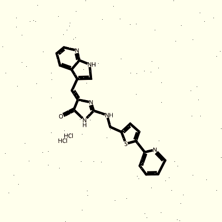 Cl.Cl.O=C1NC(NCc2ccc(-c3ccccn3)s2)=N/C1=C\c1c[nH]c2ncccc12